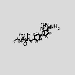 CC/N=C(\OC)C(=O)NCc1ccc(-n2ccc3c(N)ncnc32)cc1